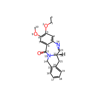 CCOc1cc2c(cc1OC)C(=O)N1Cc3ccccc3C[C@H]1C=N2